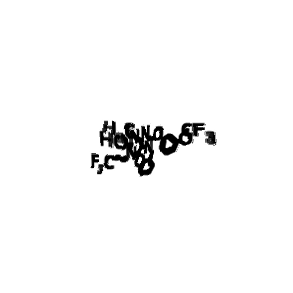 CN1c2nc(Oc3cccc(OC(F)(F)F)c3)n(Cc3ccccc3)c2C(=O)N(CCC(F)(F)F)C1O